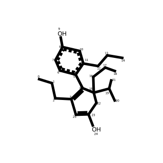 CCCC1=C(c2ccc(O)cc2CCC)C(CCC)(C(C)C)CC(O)=C1